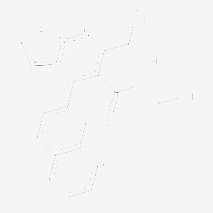 CCOC(=O)c1c(C(C)C)nn2cccc2c1-c1ccc2ccccc2c1